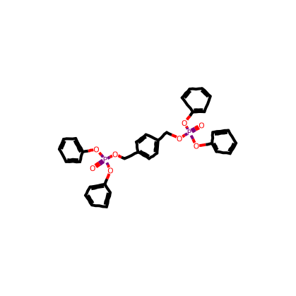 O=P(OCc1ccc(COP(=O)(Oc2ccccc2)Oc2ccccc2)cc1)(Oc1ccccc1)Oc1ccccc1